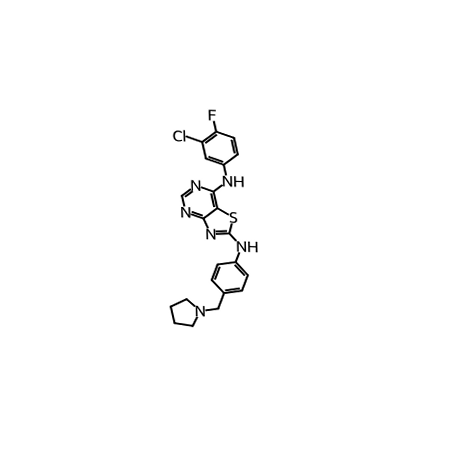 Fc1ccc(Nc2ncnc3nc(Nc4ccc(CN5CCCC5)cc4)sc23)cc1Cl